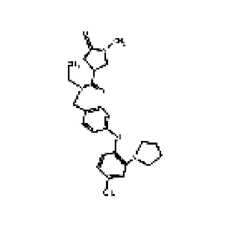 CCN(Cc1ccc(Nc2ccc(C)cc2N2CCCC2)cc1)C(=O)C1CC(=O)N(C)C1